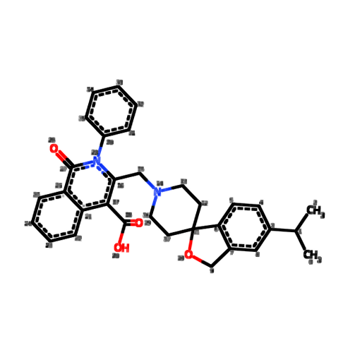 CC(C)c1ccc2c(c1)COC21CCN(Cc2c(C(=O)O)c3ccccc3c(=O)n2-c2ccccc2)CC1